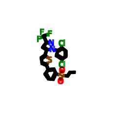 CCCS(=O)(=O)c1cccc(-c2ccc(-c3cc(C(F)(F)F)nn3-c3cc(Cl)ccc3Cl)s2)c1